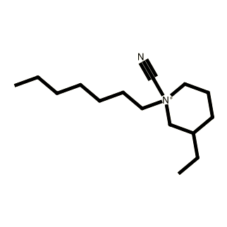 CCCCCCC[N+]1(C#N)CCCC(CC)C1